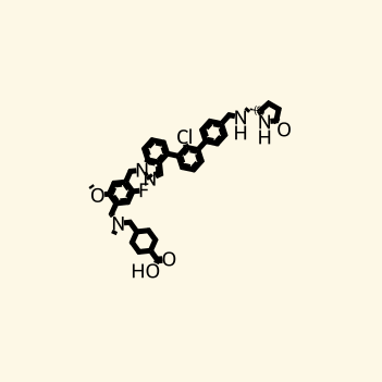 COc1cc(Cn2ncc3c(-c4cccc(-c5ccc(CNC[C@@H]6CCC(=O)N6)cc5)c4Cl)cccc32)c(F)cc1CN(C)CC1CCC(C(=O)O)CC1